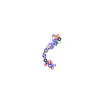 CC(C)S(=O)(=O)c1ccccc1Nc1nc(N[C@@H]2CCN(CC(=O)N3CCC(CN4CCN(c5ccc6c(c5)C(=O)N(C5CCC(=O)NC5=O)C6=O)CC4)CC3)C2)ncc1Cl